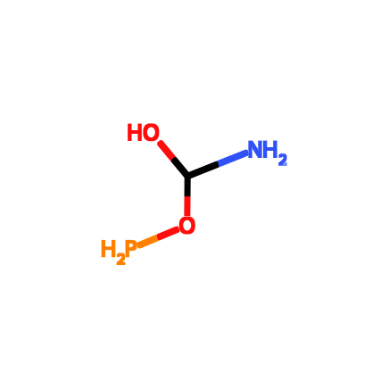 NC(O)OP